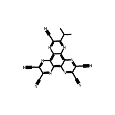 CC(C)c1nc2c3nc(C#N)c(C#N)nc3c3nc(C#N)c(C#N)nc3c2nc1C#N